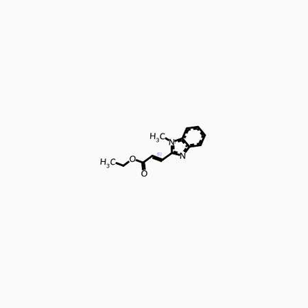 CCOC(=O)/C=C/c1nc2ccccc2n1C